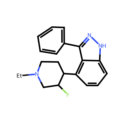 CCN1CCC(c2cccc3[nH]nc(-c4ccccc4)c23)C(F)C1